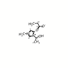 CC(O)[n+]1ccn(C)c1.CCC(=O)[O-]